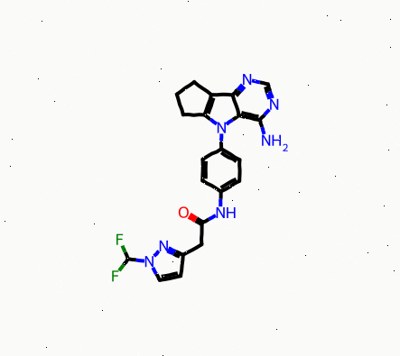 Nc1ncnc2c3c(n(-c4ccc(NC(=O)Cc5ccn(C(F)F)n5)cc4)c12)CCC3